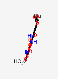 CC(C)(C)OC(=O)c1ccc(OCCCCCCCCCC(=O)NCCCC(=O)NCCOCCOCC(=O)NCCOCCOCC(=O)O)cc1